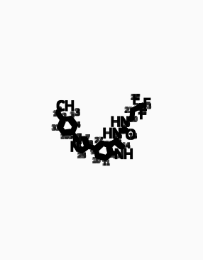 CCc1ccc(-n2cc(-c3ccc4[nH]cc(NC(=O)NCCC(F)(F)F)c4c3)cn2)cc1